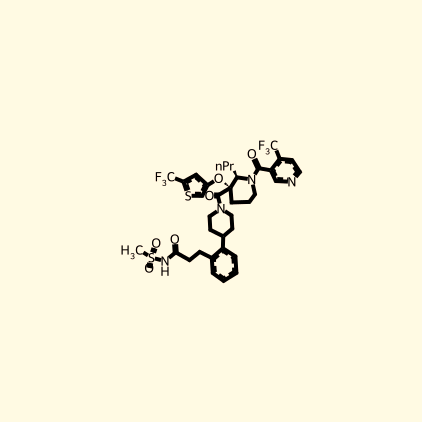 CCC[C@H]1N(C(=O)c2cnccc2C(F)(F)F)CCC[C@@]1(Oc1csc(C(F)(F)F)c1)C(=O)N1CCC(c2ccccc2CCC(=O)NS(C)(=O)=O)CC1